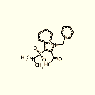 CN(C)S(=O)(=O)c1c(C(=O)O)n(Cc2ccccc2)c2ccccc12